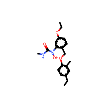 CCOc1ccc(COc2ccc(CC)cc2C)c(N(O)C(=O)NC)c1